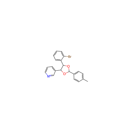 Cc1ccc(C2OC(c3cccnc3)C(c3ccccc3Br)O2)cc1